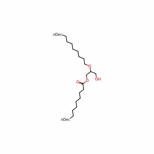 CCCCCCCCCCCCCCCCCCOC(CO)COC(=O)CCCCCCCCCCCCCCCCC